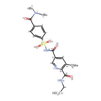 CCCCN(CCCC)C(=O)c1ccc(S(=O)(=O)NC(=O)c2cnc(C(=O)NCC(=O)O)c(OC)c2)cc1